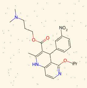 CC1=C(C(=O)OCCCN(C)C)C(c2cccc([N+](=O)[O-])c2)c2c(ccnc2OC(C)C)N1